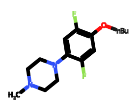 CCCCOc1cc(F)c(N2CCN(C)CC2)cc1F